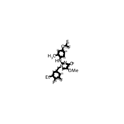 CCc1cc(Cn2cc(OC)c(=O)nc2Nc2ccc(OC(F)F)cc2C)cc(F)c1F